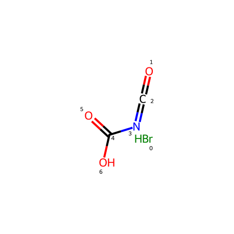 Br.O=C=NC(=O)O